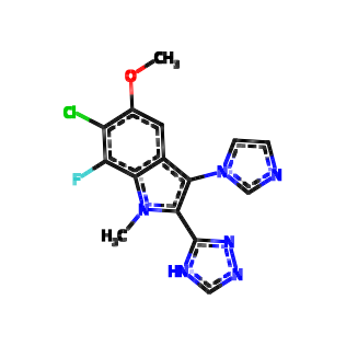 COc1cc2c(-n3ccnc3)c(-c3nnc[nH]3)n(C)c2c(F)c1Cl